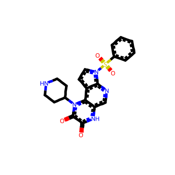 O=c1[nH]c2cnc3c(ccn3S(=O)(=O)c3ccccc3)c2n(C2CCNCC2)c1=O